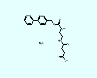 C[C@H](CCNC(=O)CCC(=O)O)C(=O)OCc1ccc(-c2ccccc2)cc1.[NaH]